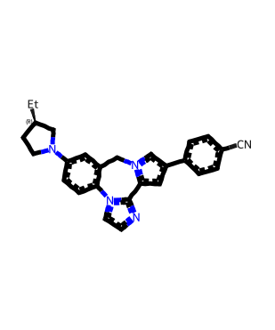 CC[C@@H]1CCN(c2ccc3c(c2)Cn2cc(-c4ccc(C#N)cc4)cc2-c2nccn2-3)C1